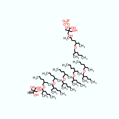 CCCCC(CC)COCC(CC)CCCC.CCCCC(CC)COCC(CC)CCCC.CCCCC(CC)COCC(CC)CCCC.CCCCC(CC)COCC(CC)CCCC.CCCCC(CC)COCC(CC)CCCC.CCCCC(CC)COCC(CC)CCCC.O=S(=O)([O-])[O-].OCC(CO)(CO)CO.OCC(CO)(CO)CO.[Na+].[Na+]